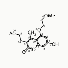 COCCOc1cc(O)cc2oc(=O)c(CCC(C)=O)c(C)c12